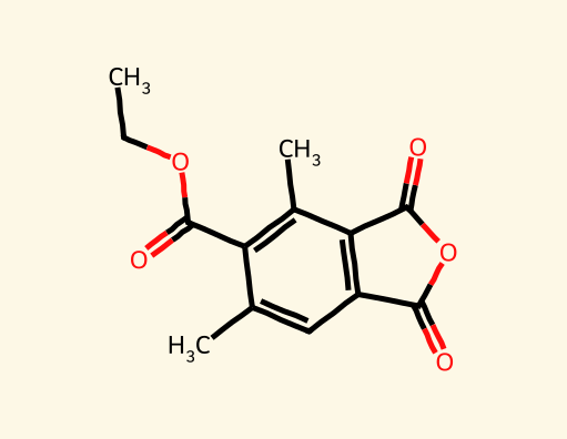 CCOC(=O)c1c(C)cc2c(c1C)C(=O)OC2=O